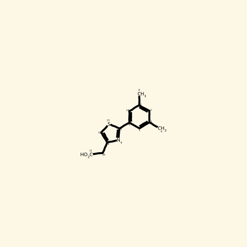 Cc1cc(C)cc(-c2nc(CC(=O)O)cs2)c1